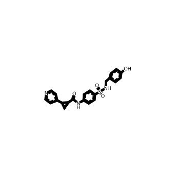 O=C(Nc1ccc(S(=O)(=O)NCc2ccc(O)cc2)cc1)C1CC1c1ccncc1